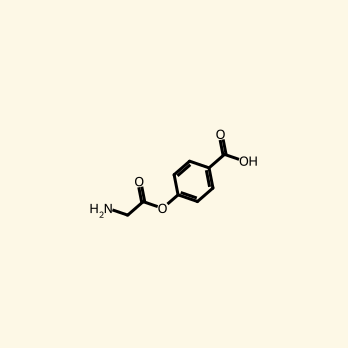 NCC(=O)Oc1ccc(C(=O)O)cc1